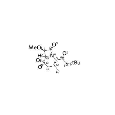 CO[C@H]1C(=O)N2C(C(=O)SC(C)(C)C)=C(C)CS(=O)(=O)[C@H]12